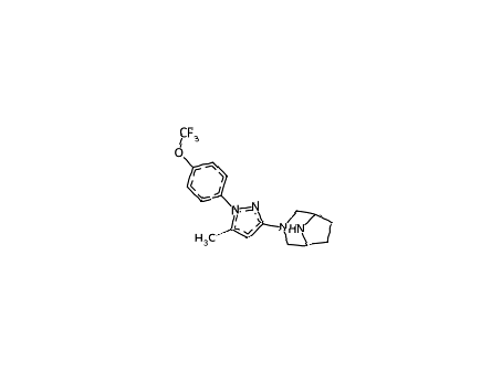 Cc1cc(N2CC3CCC(C2)N3)nn1-c1ccc(OC(F)(F)F)cc1